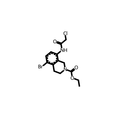 CCOC(=O)N1CCc2c(Br)ccc(NC(=O)CCl)c2C1